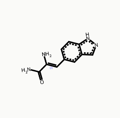 NC(=O)/C(N)=C/c1ccc2[nH]ncc2c1